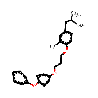 CCOC(=O)[C@H](Cc1ccc(OCCCOc2ccc(Oc3ccccc3)cc2)c(C)c1)OC